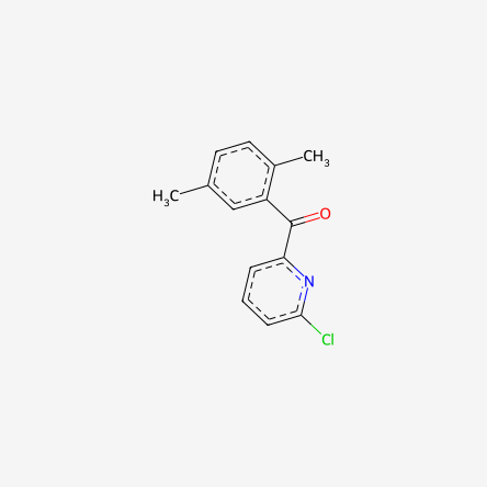 Cc1ccc(C)c(C(=O)c2cccc(Cl)n2)c1